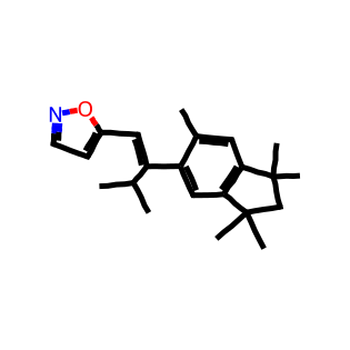 Cc1cc2c(cc1C(=Cc1ccno1)C(C)C)C(C)(C)CC2(C)C